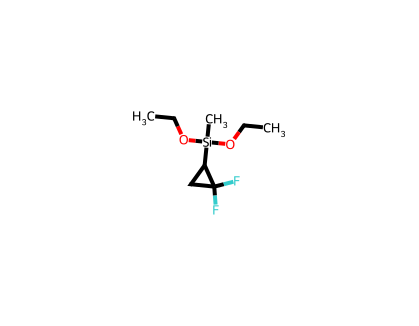 CCO[Si](C)(OCC)C1CC1(F)F